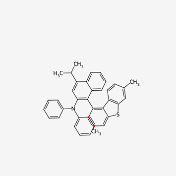 Cc1ccc2c(c1)sc1cc(C)cc(-c3c(N(c4ccccc4)c4ccccc4)cc(C(C)C)c4ccccc34)c12